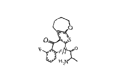 CC(N)C(=O)Nc1sc2c(c1C(=O)c1c(F)cccc1F)CCCCO2